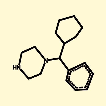 c1ccc(C(C2CCCCC2)N2CCNCC2)cc1